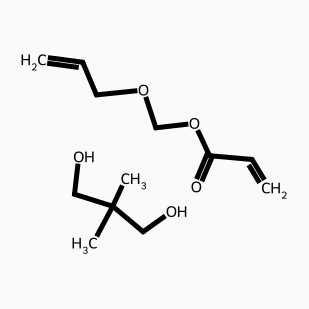 C=CCOCOC(=O)C=C.CC(C)(CO)CO